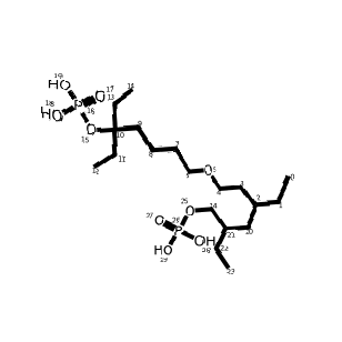 CCC(CCOCCCCC(CC)(CC)OP(=O)(O)O)CC(CC)COP(=O)(O)O